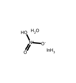 O.O=[N+]([O-])O.[InH3]